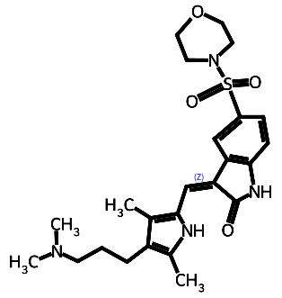 Cc1[nH]c(/C=C2\C(=O)Nc3ccc(S(=O)(=O)N4CCOCC4)cc32)c(C)c1CCCN(C)C